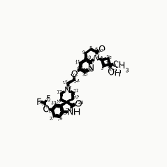 CC1(O)CC(N2C(=O)CCc3cc(OCCN4CCC5(CC4)C(=O)Nc4ccc(OC(F)F)cc45)cnc32)C1